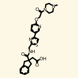 CN1CCN(C(=O)COc2ccc(-c3csc(CNC(=O)C4(CC(=O)O)Cc5ccccc5C4)n3)cn2)CC1